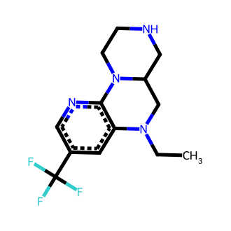 CCN1CC2CNCCN2c2ncc(C(F)(F)F)cc21